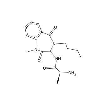 CCCCN1C(=O)c2ccccc2N(C)C(=O)C1NC(=O)[C@H](C)N